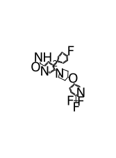 NC(=O)c1cc(-c2ccc(F)cc2)c(N2CCC(Oc3ccc(C(F)(F)F)nc3)CC2)cn1